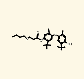 CCCCSCCC(=O)Oc1cc(C)c(Sc2cc(C(C)(C)C)c(O)cc2C)cc1C(C)(C)C